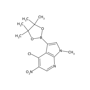 Cn1cc(B2OC(C)(C)C(C)(C)O2)c2c(Cl)c([N+](=O)[O-])cnc21